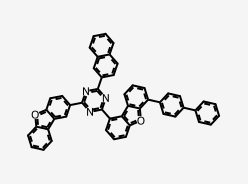 c1ccc(-c2ccc(-c3cccc4c3oc3cccc(-c5nc(-c6ccc7ccccc7c6)nc(-c6ccc7oc8ccccc8c7c6)n5)c34)cc2)cc1